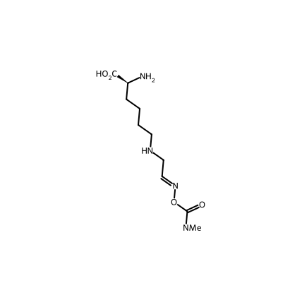 CNC(=O)ON=CCNCCCC[C@H](N)C(=O)O